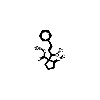 CCOC(C=Cc1ccccc1)C1(C(=O)OC(C)(C)C)CCCC1=C=O